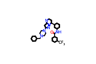 O=C(Nc1cccc(-c2ccnc3cc(N4CCN(Cc5ccccc5)CC4)nn23)c1)c1cccc(C(F)(F)F)c1